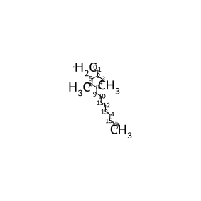 [CH2]CC(CC)CC(C)CCCCCCCCCC